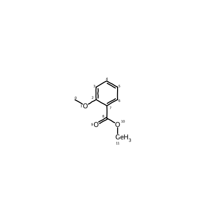 COc1ccccc1C(=O)[O][GeH3]